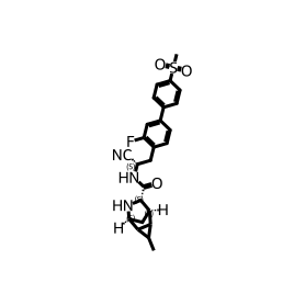 CC1C2C1[C@H]1C[C@@H]2N[C@@H]1C(=O)N[C@H](C#N)Cc1ccc(-c2ccc(S(C)(=O)=O)cc2)cc1F